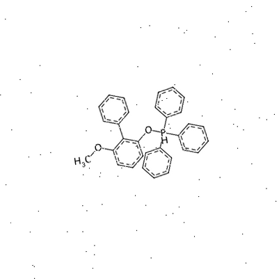 COc1cccc(O[PH](c2ccccc2)(c2ccccc2)c2ccccc2)c1-c1ccccc1